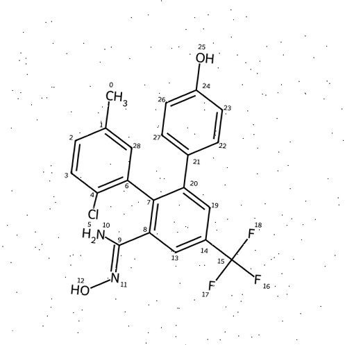 Cc1ccc(Cl)c(-c2c(/C(N)=N/O)cc(C(F)(F)F)cc2-c2ccc(O)cc2)c1